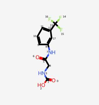 O=C(O)NCC(=O)Nc1cccc(C(F)(F)F)c1